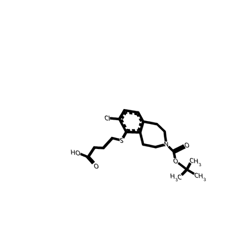 CC(C)(C)OC(=O)N1CCc2ccc(Cl)c(SCCCC(=O)O)c2CC1